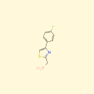 BCc1nc(-c2ccc(F)cc2)cs1